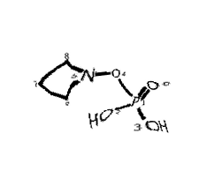 O=P(O)(O)ON1CCC1